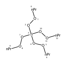 CCCO[O][Ti]([O]OCCC)([O]OCCC)[O]OCCC